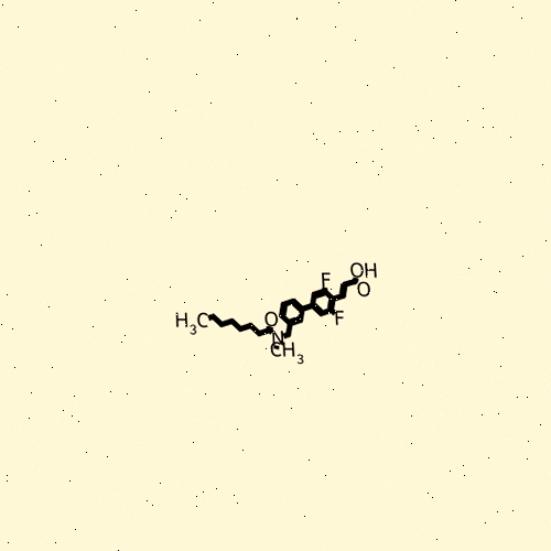 CCCCCCCC(=O)N(C)Cc1cccc(-c2cc(F)c(/C=C/C(=O)O)c(F)c2)c1